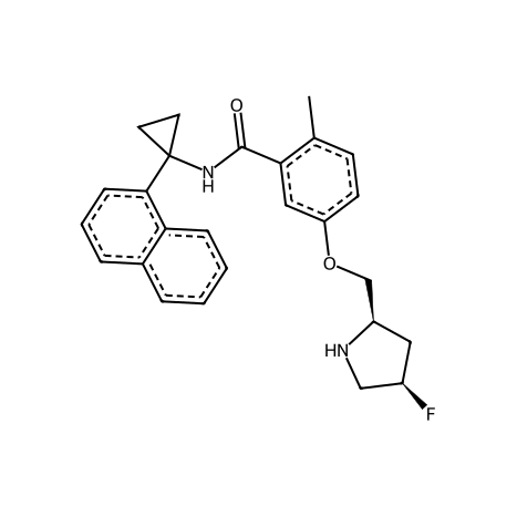 Cc1ccc(OC[C@H]2C[C@@H](F)CN2)cc1C(=O)NC1(c2cccc3ccccc23)CC1